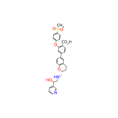 CS(=O)(=O)c1ccc(Oc2cc(-c3ccc4c(c3)CC[C@H](CNC[C@H](O)c3cccnc3)O4)ccc2C(=O)O)cc1